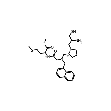 COC(=O)C(CCSC)NC(=O)CN(Cc1cccc2ccccc12)C[C@@H]1CCCN1CC(N)CS